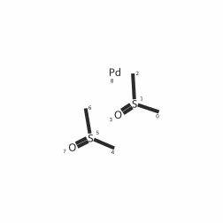 CS(C)=O.CS(C)=O.[Pd]